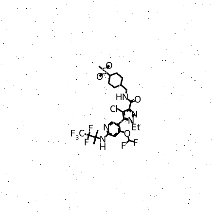 CCn1nc(C(=O)NCC2CCC(S(C)(=O)=O)CC2)c(Cl)c1-c1cnc(NC(C)(C)C(F)(F)C(F)(F)F)cc1OC(F)F